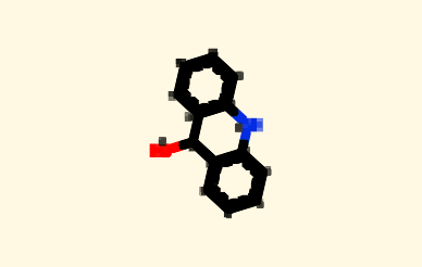 OC1c2ccccc2Nc2ccccc21